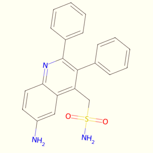 Nc1ccc2nc(-c3ccccc3)c(-c3ccccc3)c(CS(N)(=O)=O)c2c1